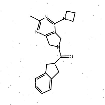 Cc1nc2c(c(N3CCC3)n1)CN(C(=O)C1Cc3ccccc3C1)C2